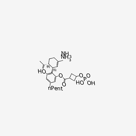 C=C(C)[C@@H]1CCC(C)=C[C@H]1c1c(O)cc(CCCCC)cc1OC(=O)C1CC(OP(=O)(O)O)C1.N.N